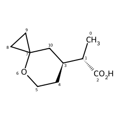 C[C@H](C(=O)O)[C@H]1CCOC2(CC2)C1